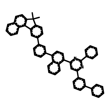 CC1(C)c2ccc(-c3cccc(-c4ccc(-c5cc(-c6cccc(-c7ccccc7)c6)nc(-c6ccccc6)n5)c5ccccc45)c3)cc2-c2c1ccc1ccccc21